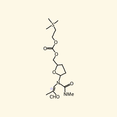 CNC(=O)N(/C=C(/C)C=O)C1CCC(COC(=O)OCCS(C)(C)C)O1